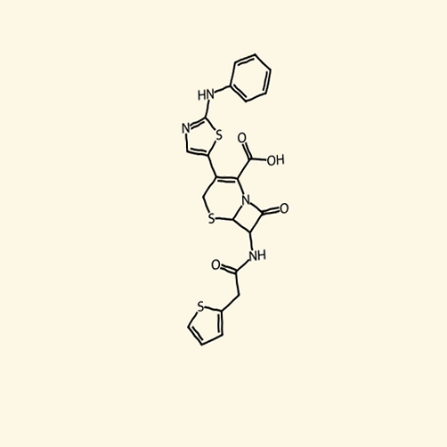 O=C(Cc1cccs1)NC1C(=O)N2C(C(=O)O)=C(c3cnc(Nc4ccccc4)s3)CSC12